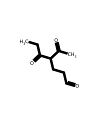 CCC(=O)C(CCC=O)C(C)=O